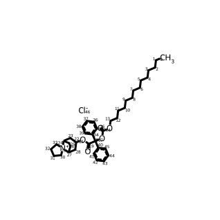 CCCCCCCCCCCCCCOC(=O)OC(C(=O)OC1CC2CCC(C1)[N+]21CCCC1)(c1ccccc1)c1ccccc1.[Cl-]